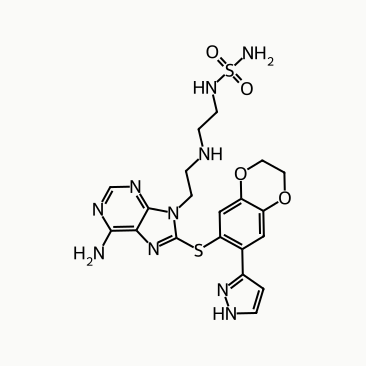 Nc1ncnc2c1nc(Sc1cc3c(cc1-c1cc[nH]n1)OCCO3)n2CCNCCNS(N)(=O)=O